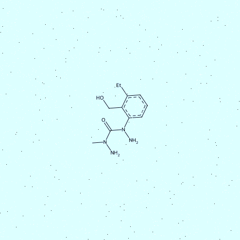 CCc1cccc(N(N)C(=O)N(C)N)c1CO